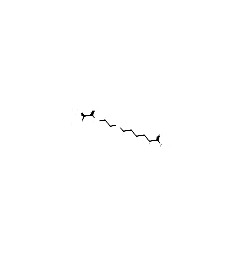 C=C(C)C(=O)OCCSCCCCCC(=O)O